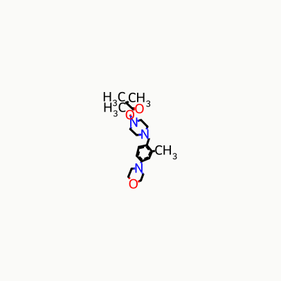 Cc1cc(N2CCOCC2)ccc1CN1CCN(OC(=O)C(C)(C)C)CC1